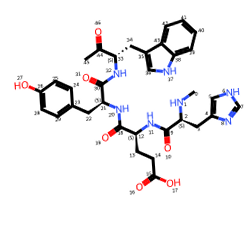 CN[C@@H](Cc1c[nH]cn1)C(=O)N[C@@H](CCC(=O)O)C(=O)N[C@@H](Cc1ccc(O)cc1)C(=O)N[C@@H](Cc1c[nH]c2ccccc12)C(C)=O